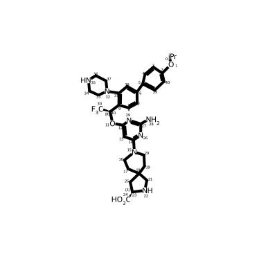 CC(C)Oc1ccc(-c2ccc([C@@H](Oc3cc(N4CCC5(CC4)CN[C@H](C(=O)O)C5)nc(N)n3)C(F)(F)F)c(N3CCNCC3)c2)cc1